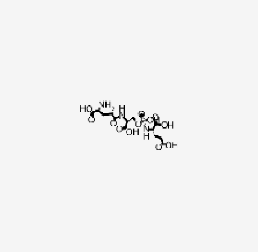 NC(CCC(=O)N[C@@H](COP(=O)(O)N[C@@H](CCC(=O)O)C(=O)O)C(=O)O)C(=O)O